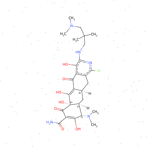 CN(C)CC(C)(C)CNc1nc(F)c2c(c1O)C(=O)C1=C(O)[C@]3(O)C(=O)C(C(N)=O)=C(O)[C@@H](N(C)C)[C@@H]3C[C@@H]1C2